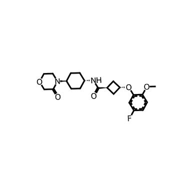 COc1ccc(F)cc1O[C@H]1C[C@H](C(=O)N[C@H]2CC[C@H](N3CCOCC3=O)CC2)C1